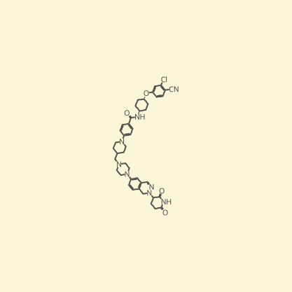 N#Cc1ccc(O[C@H]2CC[C@H](NC(=O)c3ccc(N4CCC(CN5CCN(c6ccc7c(c6)C=NN(C6CCC(=O)NC6=O)C7)CC5)CC4)cc3)CC2)cc1Cl